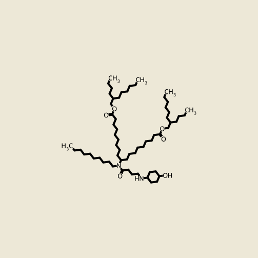 CCCCCCCCCCN(C(=O)CCCNC1CCC(O)CC1)C(CCCCCCCCC(=O)OCC(CCCC)CCCCCC)CCCCCCCCC(=O)OCC(CCCC)CCCCCC